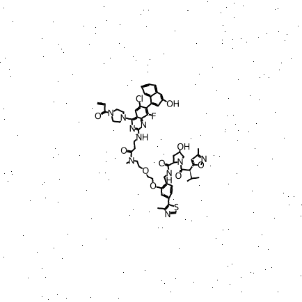 C=CC(=O)N1CCN(c2nc(NCCC(=O)N(C)CCOCCOc3cc(-c4scnc4C)ccc3CNC(=O)C3CC(O)CN3C(=O)[C@@H](c3cc(C)no3)C(C)C)nc3c(F)c(-c4cc(O)cc5ccccc45)c(Cl)cc23)CC1